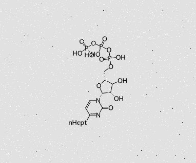 CCCCCCCc1ccn([C@@H]2O[C@H](COP(=O)(O)OP(=O)(O)OP(=O)(O)O)C(O)[C@@H]2O)c(=O)n1